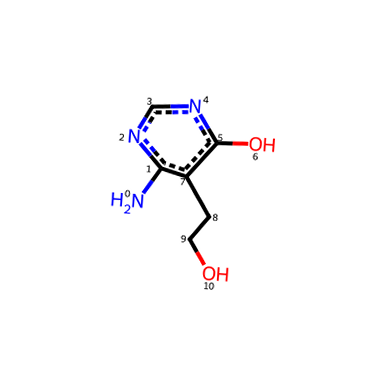 Nc1ncnc(O)c1CCO